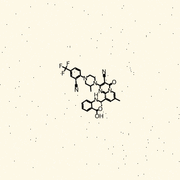 Cc1cc([C@@H](C)Nc2ccccc2C(=O)O)c2nc(N3CCN(c4ccc(C(F)(F)F)cc4C#N)CC3C)c(C#N)c(=O)n2c1